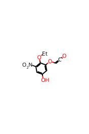 CCOc1c(OC=C=O)cc(O)cc1[N+](=O)[O-]